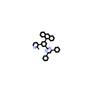 Cc1ncccc1-c1cc(-c2nc(-c3ccccc3)cc(-c3ccccc3)n2)cc(-c2c3ccccc3cc3ccccc23)c1